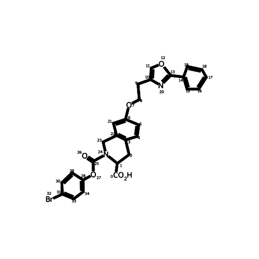 O=C(O)C1Cc2ccc(OCCc3coc(-c4ccccc4)n3)cc2CN1C(=O)Oc1ccc(Br)cc1